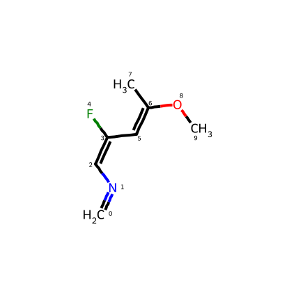 C=N/C=C(F)\C=C(/C)OC